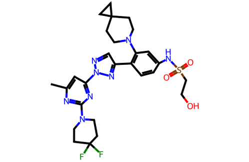 Cc1cc(-n2ncc(-c3ccc(NS(=O)(=O)CCO)cc3N3CCC4(CC3)CC4)n2)nc(N2CCC(F)(F)CC2)n1